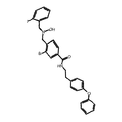 O=C(NCCc1ccc(Oc2ccccc2)cc1)c1ccc(CN(O)Cc2ccccc2I)c(Br)c1